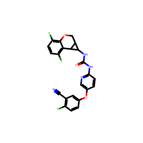 N#Cc1cc(Oc2ccc(NC(=O)NC3C4COc5c(F)ccc(F)c5C43)nc2)ccc1F